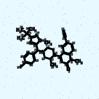 C[C@@H]1CN(c2cc(=O)n(C)c3ccc(C#N)nc23)[C@@H](C)CN1C(c1ccc(F)cc1)c1nc(C(C)(C)C)no1